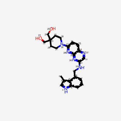 Cc1c[nH]c2cccc(CNc3cnc4ccc(N5CCC(CO)(CO)CC5)nc4n3)c12